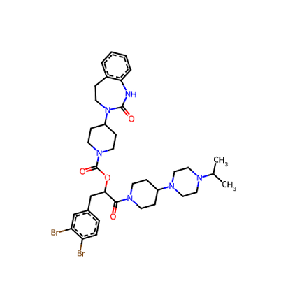 CC(C)N1CCN(C2CCN(C(=O)C(Cc3ccc(Br)c(Br)c3)OC(=O)N3CCC(N4CCc5ccccc5NC4=O)CC3)CC2)CC1